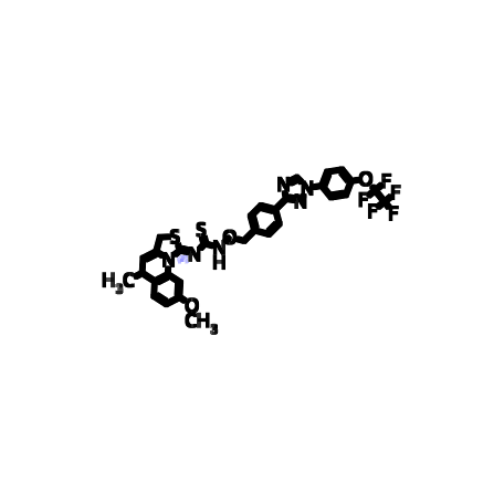 COc1ccc2c(c1)N1C(=CC2C)CS/C1=N\C(=S)NOCc1ccc(-c2ncn(-c3ccc(OC(F)(F)C(F)(F)F)cc3)n2)cc1